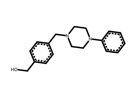 OCc1ccc(CN2CCN(c3ccccc3)CC2)cc1